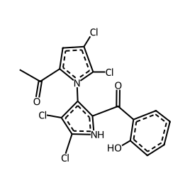 CC(=O)c1cc(Cl)c(Cl)n1-c1c(C(=O)c2ccccc2O)[nH]c(Cl)c1Cl